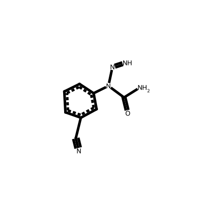 N#Cc1cccc(N(N=N)C(N)=O)c1